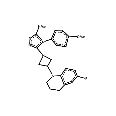 CNc1nnc(N2CC(N3CCCc4cc(F)ccc43)C2)n1-c1ccc(OC)nc1